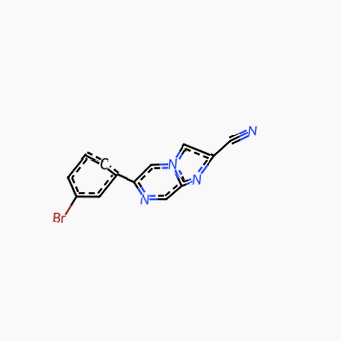 N#Cc1cn2cc(-c3cccc(Br)c3)ncc2n1